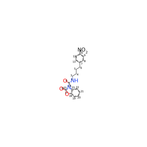 O=C(NCCCCc1ccc([N+](=O)[O-])cc1)n1c(=O)oc2ccccc21